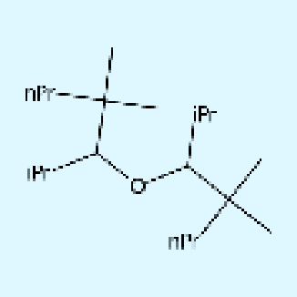 CCCC(C)(C)C(OC(C(C)C)C(C)(C)CCC)C(C)C